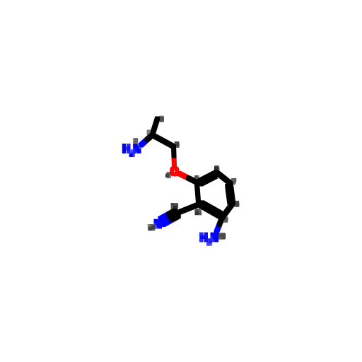 CC(N)COc1cccc(N)c1C#N